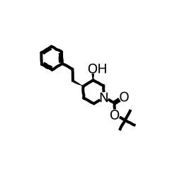 CC(C)(C)OC(=O)N1CC[C@@H](CCc2ccccc2)[C@@H](O)C1